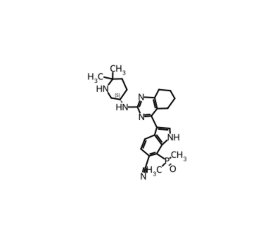 CC1(C)CC[C@H](Nc2nc3c(c(-c4c[nH]c5c(P(C)(C)=O)c(C#N)ccc45)n2)CCCC3)CN1